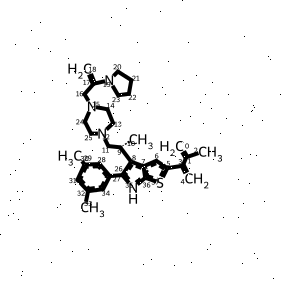 C=C(C)C(=C)c1cc2c([C@@H](C)CN3CCN(CC(=C)N4CCCC4)CC3)c(-c3cc(C)cc(C)c3)[nH]c2s1